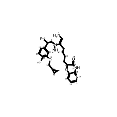 CCC(CN(N)/C(=C\N)CCCCC1Oc2cccnc2NC1=O)c1ccc(F)c(OCC2CC2)c1